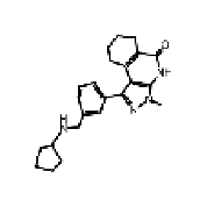 Cn1nc(-c2cccc(CNC3CCCC3)c2)c2c3c(c(=O)[nH]c21)CCCC3